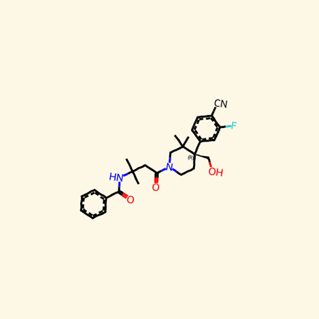 CC(C)(CC(=O)N1CC[C@@](CO)(c2ccc(C#N)c(F)c2)C(C)(C)C1)NC(=O)c1ccccc1